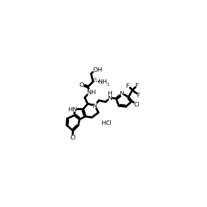 Cl.N[C@@H](CO)C(=O)NCC1c2[nH]c3ccc(Cl)cc3c2CCN1CCNc1ccc(Cl)c(C(F)(F)F)n1